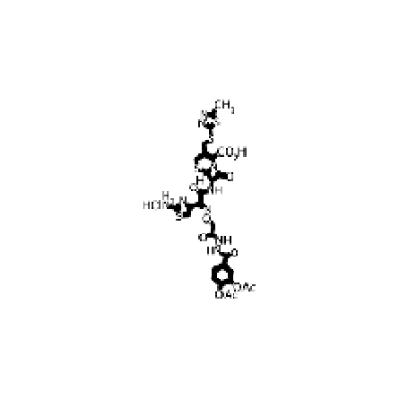 CC(=O)Oc1ccc(C(=O)NNC(=O)CON=C(C(=O)NC2C(=O)N3C(C(=O)O)=C(CSc4nnc(C)s4)CS[C@@H]23)c2csc(N)n2)cc1OC(C)=O.Cl